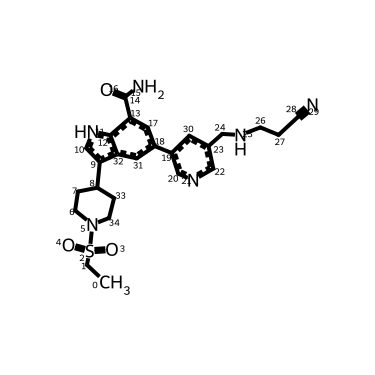 CCS(=O)(=O)N1CCC(c2c[nH]c3c(C(N)=O)cc(-c4cncc(CNCCC#N)c4)cc23)CC1